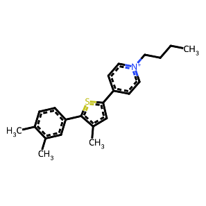 CCCC[n+]1ccc(-c2cc(C)c(-c3ccc(C)c(C)c3)s2)cc1